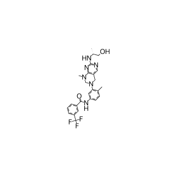 Cc1ccc(NC(=O)c2cccc(C(F)(F)F)c2)cc1N1Cc2cnc(N[C@H](C)CO)nc2N(C)C1